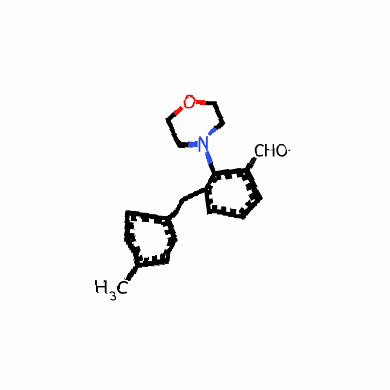 Cc1ccc(Cc2cccc([C]=O)c2N2CCOCC2)cc1